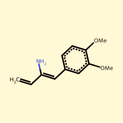 C=CC(N)=Cc1ccc(OC)c(OC)c1